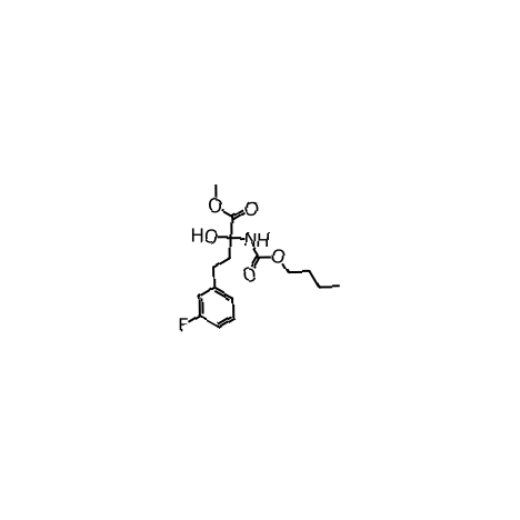 CCCCOC(=O)NC(O)(CCc1cccc(F)c1)C(=O)OC